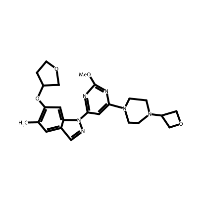 COc1nc(N2CCN(C3COC3)CC2)cc(-n2ncc3cc(C)c(OC4CCOC4)cc32)n1